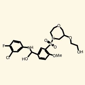 COc1ccc(C(O)Nc2ccc(F)c(Cl)c2)cc1S(=O)(=O)N1CCOCC(OCCO)C1